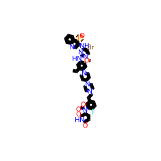 CCc1cc(Nc2ncc(Br)c(Nc3cnc4ccccc4c3P(C)(C)=O)n2)c(OC)cc1N1CCC(N2CCN(CCc3ccc(F)c4c3oc(=O)n4C3CCC(=O)NC3=O)CC2)CC1